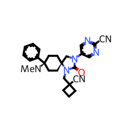 CN[C@]1(c2ccccc2)CC[C@@]2(CC1)CN(c1cnc(C#N)nc1)C(=O)N2CC1(C#N)CCC1